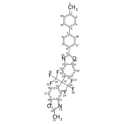 Cc1ccc(-c2ccc(-c3nc4cc(C(c5ccc6oc(C)nc6c5)(C(F)(F)F)C(F)(F)F)ccc4o3)cc2)cc1